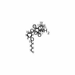 CCCCCCOc1cccc(OCC(=O)C(C[N+](C)(C)C)[C@@H](N)C(=O)[O-])c1